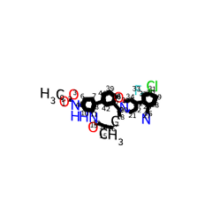 COC(=O)Nc1ccc2c(c1)NC(=O)[C@H](C)CCC[C@H](N1CCC(c3c(C#N)ccc(Cl)c3F)=CC1=O)c1cccc-2c1